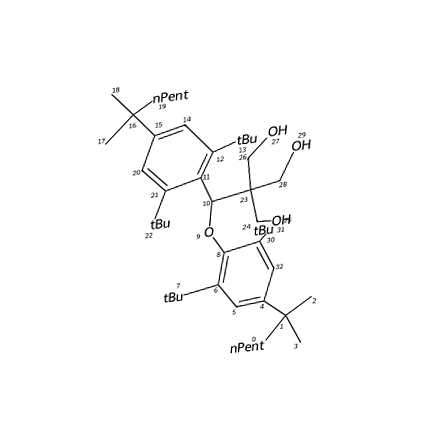 CCCCCC(C)(C)c1cc(C(C)(C)C)c(OC(c2c(C(C)(C)C)cc(C(C)(C)CCCCC)cc2C(C)(C)C)C(CO)(CO)CO)c(C(C)(C)C)c1